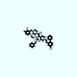 CCOc1ccc(C)c(F)c1CN1CCN(C(=O)[C@H](NC(=O)OCc2ccccc2)C2CCN(CCc3cc(Cl)ccc3-c3ccccc3)CC2)CC1